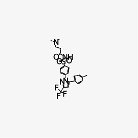 Cc1ccc(-c2cc(C(F)(F)F)nn2-c2ccc(S(=O)(=O)NC(=O)CCN(C)C)cc2)cc1